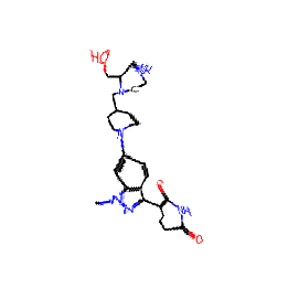 Cn1nc(C2CCC(=O)NC2=O)c2ccc(N3CCC(CN4CCNCC4CO)CC3)cc21